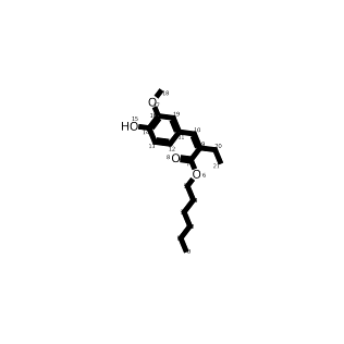 CCCCCCOC(=O)C(=Cc1ccc(O)c(OC)c1)CC